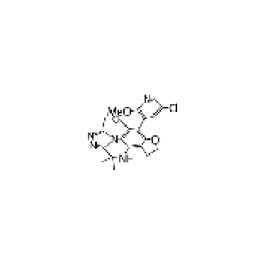 COc1ncc(Cl)cc1-c1c(Cl)c2c(c3c1OCC3)NC(C)(C)c1nnc(C)n1-2